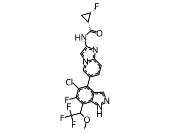 COC(c1c(F)c(Cl)c(-c2ccc3nc(NC(=O)[C@@H]4C[C@@H]4F)cn3c2)c2cn[nH]c12)C(F)(F)F